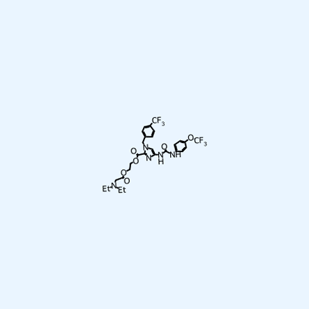 CCN(CC)CC(=O)OCCOC(=O)c1nc(NC(=O)Nc2ccc(OC(F)(F)F)cc2)cn1Cc1ccc(C(F)(F)F)cc1